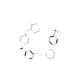 O=C(c1cncc(NC[C@H]2CCC[C@@H](c3ccc(C(F)(F)F)cc3)O2)c1)N1CCC(NC2CCOCC2F)CC1